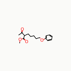 COC(=O)C(CCCCCOc1ccccc1)C(C)=O